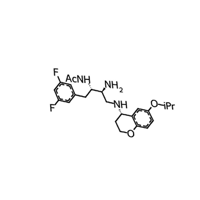 CC(=O)N[C@@H](Cc1cc(F)cc(F)c1)[C@@H](N)CN[C@H]1CCOc2ccc(OC(C)C)cc21